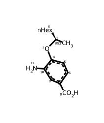 CCCCCC[C@@H](C)Oc1ccc(C(=O)O)cc1N